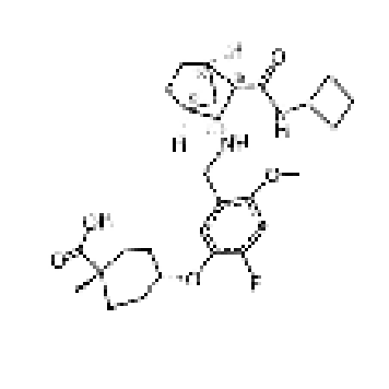 COc1cc(F)c(O[C@H]2CC[C@@](C)(C(=O)O)CC2)cc1CN[C@@H]1[C@H]2CC[C@H](C2)[C@@H]1C(=O)NC1CCC1